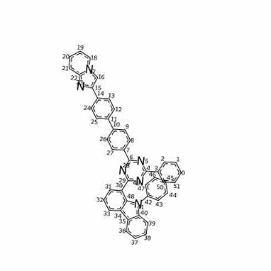 c1ccc(-c2nc(-c3ccc(-c4ccc(-c5cn6ccccc6n5)cc4)cc3)nc(-c3cccc4c5ccccc5n(-c5ccccc5)c34)n2)cc1